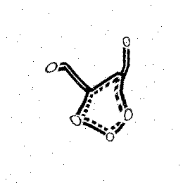 O=c1oooc1=O